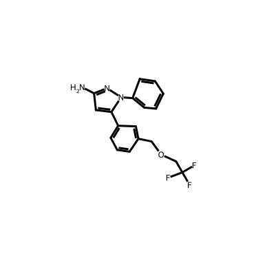 Nc1cc(-c2cccc(COCC(F)(F)F)c2)n(-c2ccccc2)n1